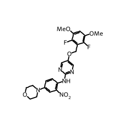 COc1cc(OC)c(F)c(COc2cnc(Nc3ccc(N4CCOCC4)cc3[N+](=O)[O-])nc2)c1F